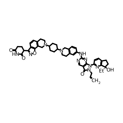 C=CCn1c(=O)c2cnc(Nc3ccc4c(c3)CCN(C3CCC(N5CCc6ccc7c(C8CCC(=O)NC8=O)noc7c6C5)CC3)C4)nc2n1-c1ccc2c(n1)[C@@](O)(CC)CC2